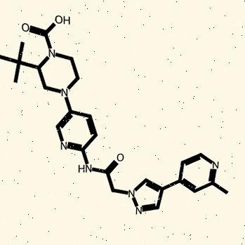 Cc1cc(-c2cnn(CC(=O)Nc3ccc(N4CCN(C(=O)O)C(C(C)(C)C)C4)cn3)c2)ccn1